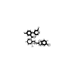 Cc1ccc(-c2ccnc(C)c2)c(C(=O)N2CCC[C@@H](C)C2CNc2nc3cc(Cl)ccc3o2)c1